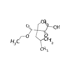 CCOC(=O)C(CC)(CC(C)C)C(=O)C(=O)O